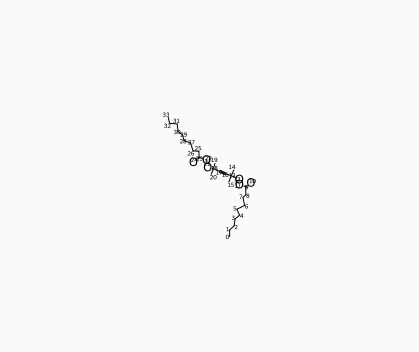 CCCCCCCCCC(=O)OOC(C)(C)C#CC(C)(C)OOC(=O)CCCCCCCCC